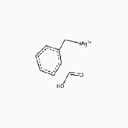 O=CO.[Mg+2][CH2]c1ccccc1